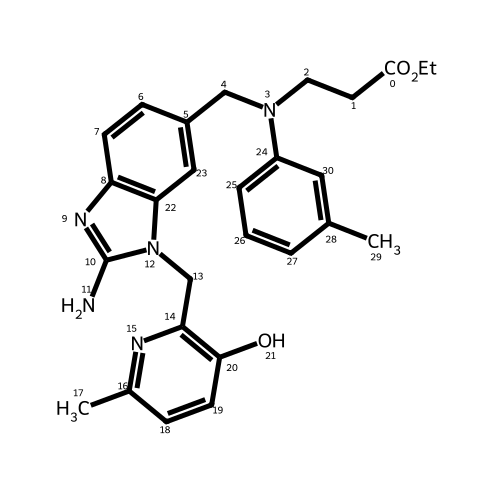 CCOC(=O)CCN(Cc1ccc2nc(N)n(Cc3nc(C)ccc3O)c2c1)c1cccc(C)c1